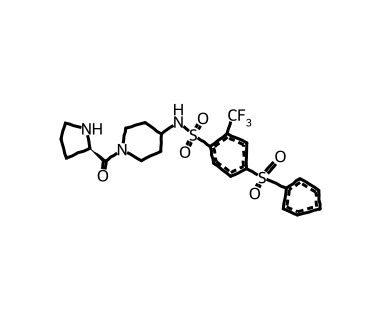 O=C([C@H]1CCCN1)N1CCC(NS(=O)(=O)c2ccc(S(=O)(=O)c3ccccc3)cc2C(F)(F)F)CC1